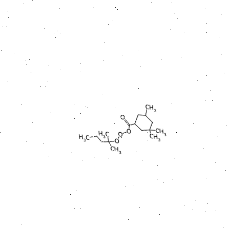 CCCC(C)(C)OOOC(=O)C1CC(C)CC(C)(C)C1